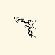 NC(=O)NCCC[C@H](NC(=O)[C@@H](N)Cc1ccc(O)cc1)C(=O)O